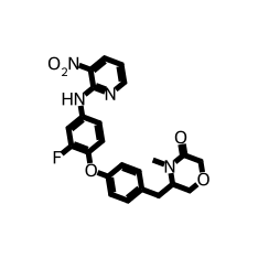 CN1C(=O)COCC1Cc1ccc(Oc2ccc(Nc3ncccc3[N+](=O)[O-])cc2F)cc1